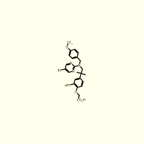 CCCc1cc(C(C)(C)CN(Cc2ccc(OC(F)(F)F)cc2)c2ncc(CC)cn2)ccc1OCC(=O)O